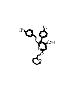 CCCc1ccc(CCc2nc(OCC3CCCCO3)cc(O)c2-c2ccc(CC)cc2)cc1